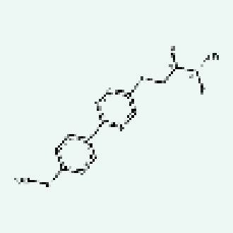 CCCCCCCCOc1ccc(-c2ncc(OC[C@@H](O)[C@@H](F)CCC)cn2)cc1